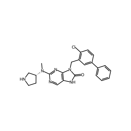 CN(c1ncc2[nH]c(=O)n(Cc3cc(-c4ccccc4)ccc3Cl)c2n1)[C@@H]1CCNC1